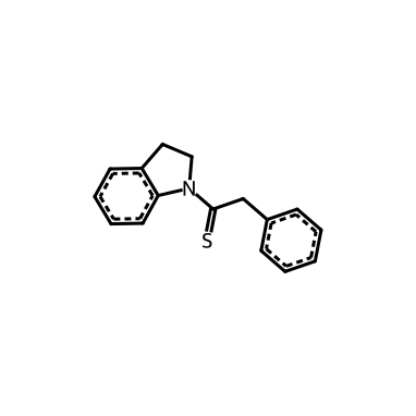 S=C(Cc1ccccc1)N1CCc2ccccc21